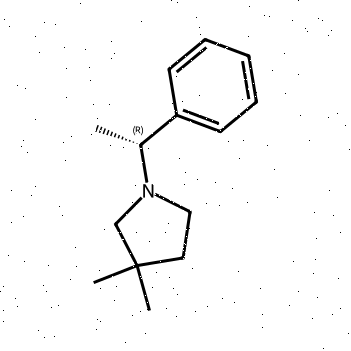 C[C@H](c1ccccc1)N1CCC(C)(C)C1